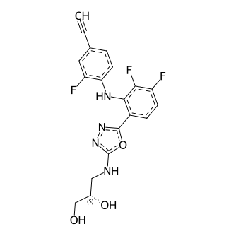 C#Cc1ccc(Nc2c(-c3nnc(NC[C@H](O)CO)o3)ccc(F)c2F)c(F)c1